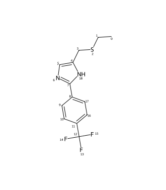 CCSCc1[c]nc(-c2ccc(C(F)(F)F)cc2)[nH]1